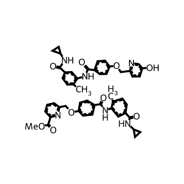 COC(=O)c1cccc(COc2ccc(C(=O)Nc3cc(C(=O)NC4CC4)ccc3C)cc2)n1.Cc1ccc(C(=O)NC2CC2)cc1NC(=O)c1ccc(OCc2ccc(O)cn2)cc1